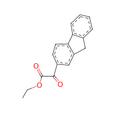 CCOC(=O)C(=O)c1ccc2c(c1)Cc1ccccc1-2